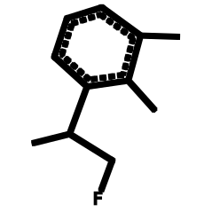 C[C](CF)c1cccc(C)c1C